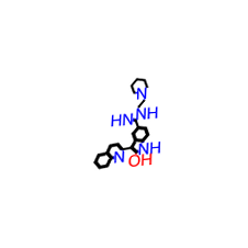 N=C(NCCN1CCCCC1)c1ccc2[nH]c(O)c(-c3ccc4ccccc4n3)c2c1